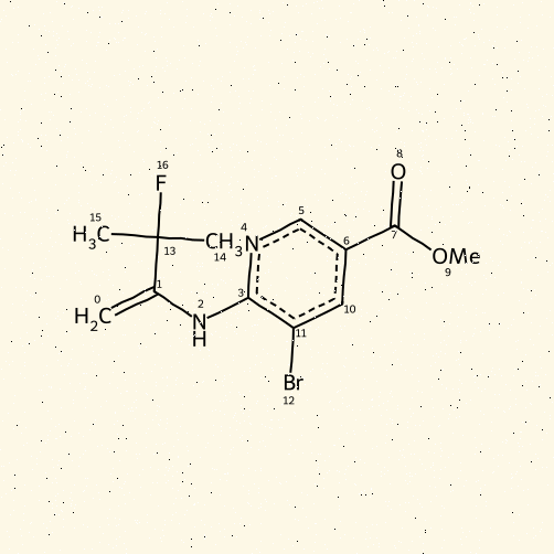 C=C(Nc1ncc(C(=O)OC)cc1Br)C(C)(C)F